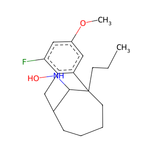 CCCC12CCCCC(Cc3c(F)cc(OC)cc31)C2NO